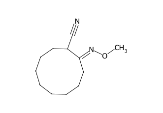 CON=C1CCCCCCCCC1C#N